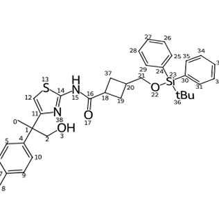 CC(CO)(c1ccc(Br)cc1)c1csc(NC(=O)C2CC(CO[Si](c3ccccc3)(c3ccccc3)C(C)(C)C)C2)n1